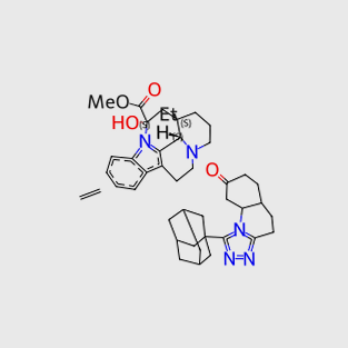 C=C.CC[C@]12CCCN3CCc4c(n(c5ccccc45)[C@@](O)(C(=O)OC)C1)[C@@H]32.O=C1CCC2CCc3nnc(C45CC6CC(CC(C6)C4)C5)n3C2C1